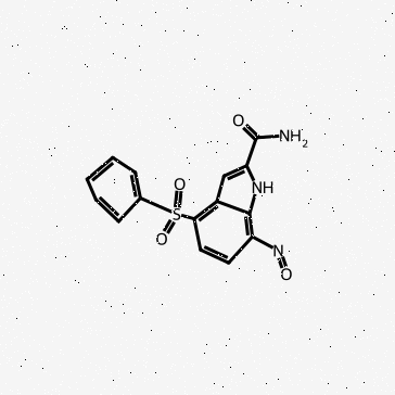 NC(=O)c1cc2c(S(=O)(=O)c3ccccc3)ccc(N=O)c2[nH]1